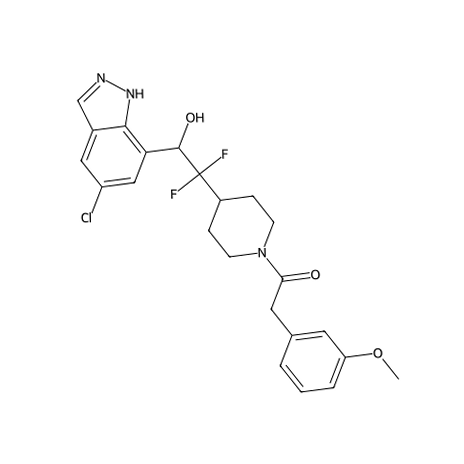 COc1cccc(CC(=O)N2CCC(C(F)(F)C(O)c3cc(Cl)cc4cn[nH]c34)CC2)c1